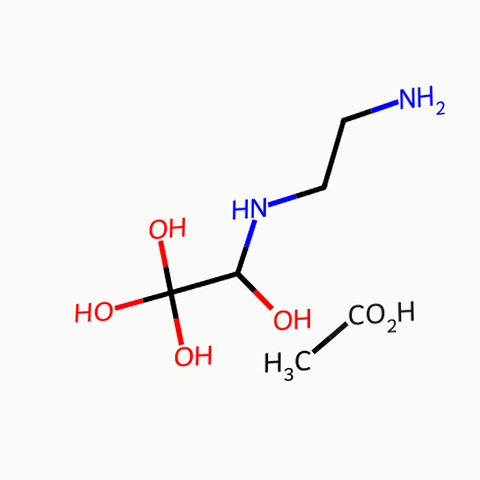 CC(=O)O.NCCNC(O)C(O)(O)O